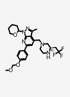 COCOc1ccc(-c2cc(CN3CCN[C@H](CC(F)(F)F)C3)c3c(C)nn(C4CCCCO4)c3n2)cc1